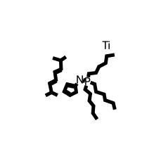 CC(C)C=CC=CC(C)C.CCCCCCP(CCCCCC)(CCCCCC)=NC1=CC=CC1.[Ti]